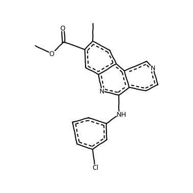 COC(=O)c1cc2nc(Nc3cccc(Cl)c3)c3ccncc3c2cc1C